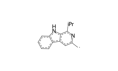 [CH2]c1cc2c([nH]c3ccccc32)c(C(C)C)n1